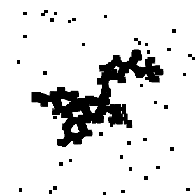 Cc1ccc(-c2nc(NN)c(OC[C@@H]3CCN(C(=O)OC(C)(C)C)C3)nc2-c2ccc(C#N)cc2)cc1